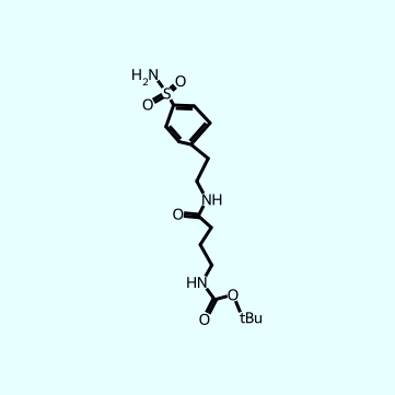 CC(C)(C)OC(=O)NCCCC(=O)NCCc1ccc(S(N)(=O)=O)cc1